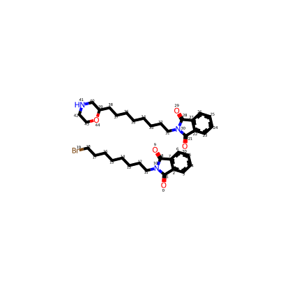 O=C1c2ccccc2C(=O)N1CCCCCCCCBr.O=C1c2ccccc2C(=O)N1CCCCCCCCC1CNCCO1